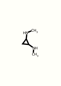 CNC1CC1NC